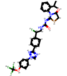 CC(C)c1ccccc1N1C(=O)CS/C1=N\C(=O)NCC(F)c1ccc(-c2ncn(-c3ccc(OC(F)(F)F)cc3)n2)cc1